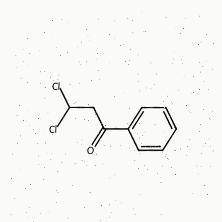 O=C(CC(Cl)Cl)c1ccccc1